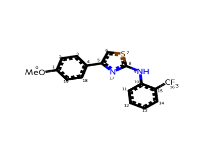 COc1ccc(-c2csc(Nc3ccccc3C(F)(F)F)n2)cc1